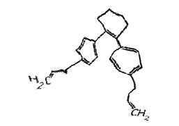 C=CCc1ccc(C2=C(c3ccc(CC=C)cc3)CCCC2)cc1